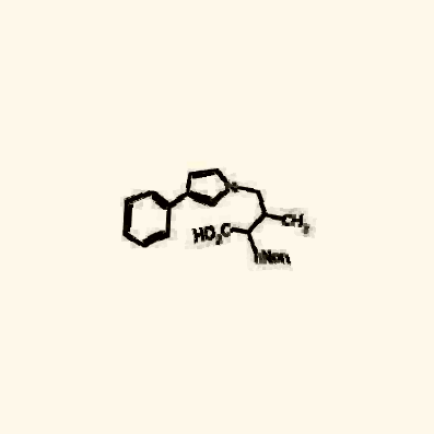 CCCCCCCCCC(C(=O)O)C(C)Cn1ccc(-c2ccccc2)c1